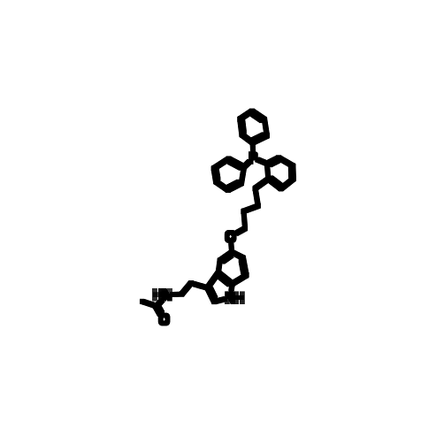 CC(=O)NCCc1c[nH]c2ccc(OCCCCc3ccccc3P(c3ccccc3)c3ccccc3)cc12